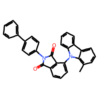 Cc1cccc2c3ccccc3n(-c3cccc4c3C(=O)N(c3ccc(-c5ccccc5)cc3)C4=O)c12